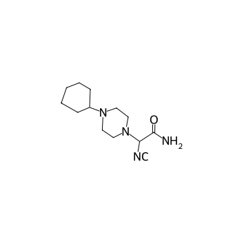 [C-]#[N+]C(C(N)=O)N1CCN(C2CCCCC2)CC1